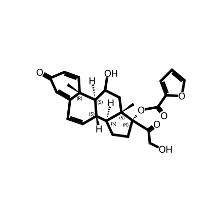 C[C@]12C=CC(=O)C=C1C=C[C@@H]1[C@@H]2C(O)C[C@@]2(C)[C@H]1CC[C@]2(OC(=O)c1ccco1)C(=O)CO